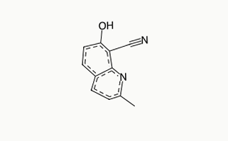 Cc1ccc2ccc(O)c(C#N)c2n1